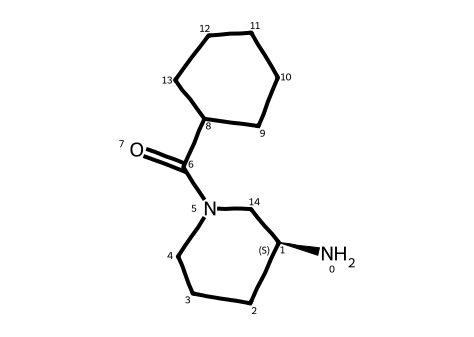 N[C@H]1CCCN(C(=O)C2CCCCC2)C1